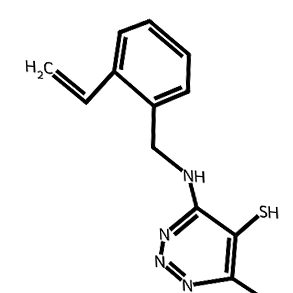 C=Cc1ccccc1CNc1nnnc(S)c1S